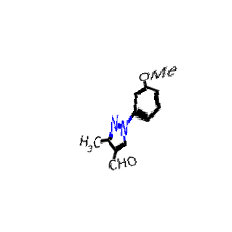 COc1cccc(-n2cc(C=O)c(C)n2)c1